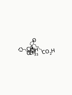 CC(C)(CCc1ccccc1)C(C)(O)CSC1CCC(=O)C1CCCCCCC(=O)O